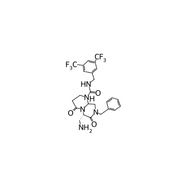 NC[C@H]1C(=O)N(Cc2ccccc2)C[C@@H]2N(C(=O)NCc3cc(C(F)(F)F)cc(C(F)(F)F)c3)CCC(=O)N21